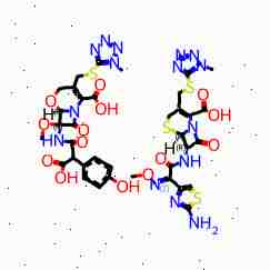 CO/N=C(\C(=O)N[C@@H]1C(=O)N2C(C(=O)O)=C(CSc3nnnn3C)CS[C@H]12)c1csc(N)n1.CO[C@@]1(NC(=O)C(C(=O)O)c2ccc(O)cc2)C(=O)N2C(C(=O)O)=C(CSc3nnnn3C)CO[C@@H]21